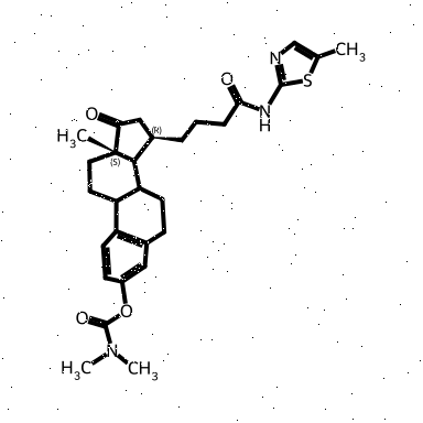 Cc1cnc(NC(=O)CCC[C@@H]2CC(=O)[C@@]3(C)CCC4c5ccc(OC(=O)N(C)C)cc5CCC4C23)s1